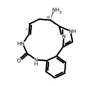 N[C@H]1C/C=C/NC(=O)Nc2ccccc2-c2c[nH]c1n2